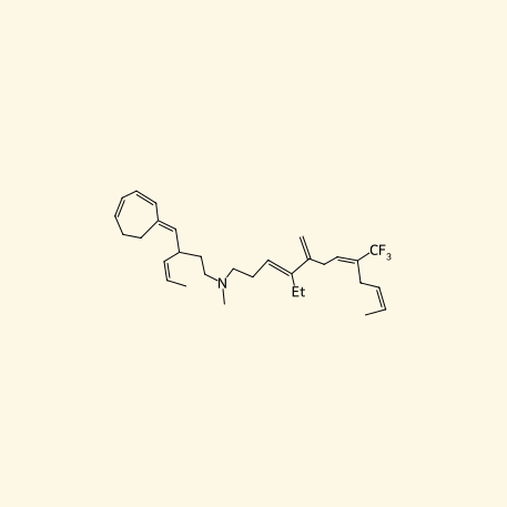 C=C(CC=C(C/C=C\C)C(F)(F)F)/C(=C/CCN(C)CCC(/C=C\C)/C=C1/C=CC=CCC1)CC